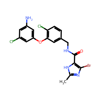 Cc1nc(Br)c(C(=O)NCc2ccc(Cl)c(Oc3cc(N)cc(Cl)c3)c2)[nH]1